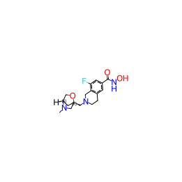 CN1C[C@]2(CN3CCc4cc(C(=O)NO)cc(F)c4C3)C[C@H]1CO2